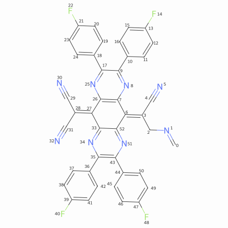 C=NCC(C#N)=c1c2nc(-c3ccc(F)cc3)c(-c3ccc(F)cc3)nc2c(=C(C#N)C#N)c2nc(-c3ccc(F)cc3)c(-c3ccc(F)cc3)nc12